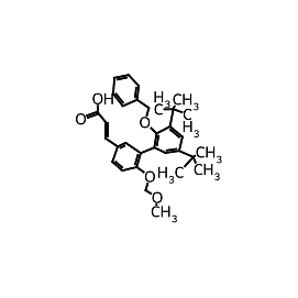 COCOc1ccc(/C=C/C(=O)O)cc1-c1cc(C(C)(C)C)cc(C(C)(C)C)c1OCc1ccccc1